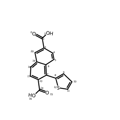 O=C(O)c1ccc2c(-c3cccs3)c(C(=O)O)ccc2c1